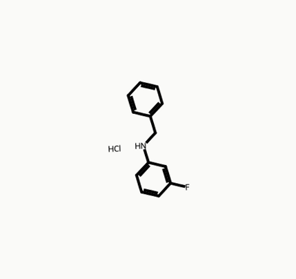 Cl.Fc1cccc(NCc2ccccc2)c1